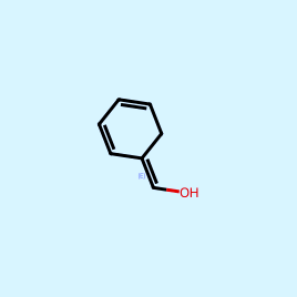 O/C=C1/C=CC=CC1